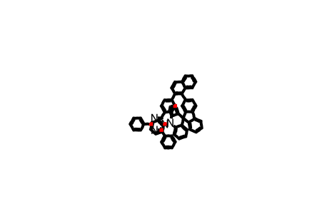 c1ccc(-c2nc(-c3ccccc3)nc(-c3ccc(-c4ccc5ccccc5c4-c4ccc5c(c4)C4(c6ccccc6-5)c5ccccc5N(c5ccccc5)c5ccccc54)cc3)n2)cc1